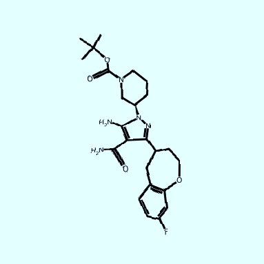 CC(C)(C)OC(=O)N1CCC[C@@H](n2nc(C3CCOc4cc(F)ccc4C3)c(C(N)=O)c2N)C1